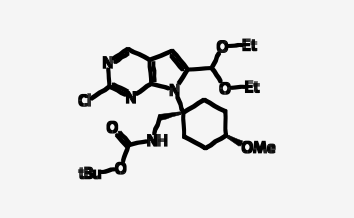 CCOC(OCC)c1cc2cnc(Cl)nc2n1[C@]1(CNC(=O)OC(C)(C)C)CC[C@@H](OC)CC1